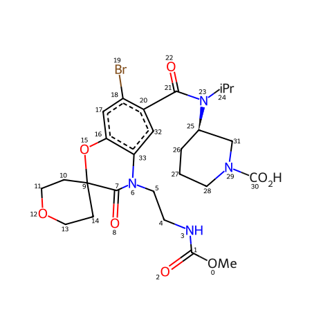 COC(=O)NCCN1C(=O)C2(CCOCC2)Oc2cc(Br)c(C(=O)N(C(C)C)[C@@H]3CCCN(C(=O)O)C3)cc21